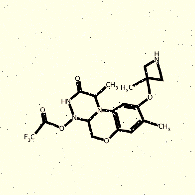 Cc1cc2c(cc1OC1(C)CNC1)N1C(C)C(=O)NN(OC(=O)C(F)(F)F)C1CO2